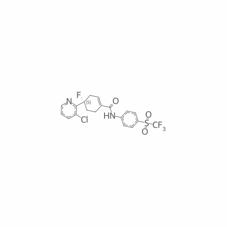 O=C(Nc1ccc(S(=O)(=O)C(F)(F)F)cc1)C1=CC[C@](F)(c2ncccc2Cl)CC1